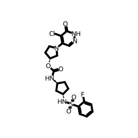 O=C(N[C@H]1CC[C@H](NS(=O)(=O)c2ccccc2F)C1)O[C@@H]1CCN(c2cn[nH]c(=O)c2Cl)C1